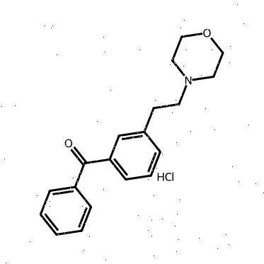 Cl.O=C(c1ccccc1)c1cccc(CCN2CCOCC2)c1